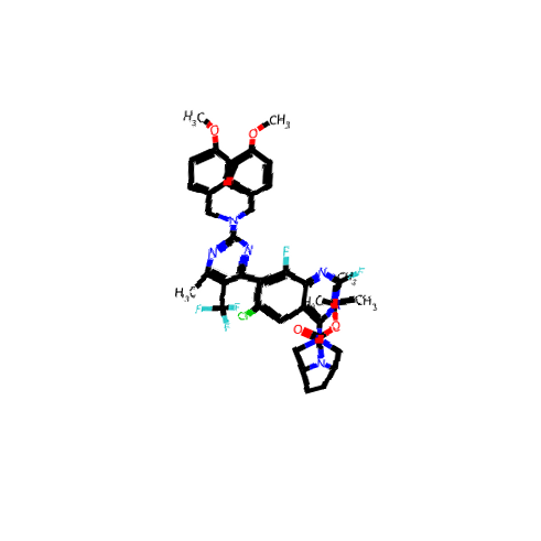 COc1ccc(CN(Cc2ccc(OC)cc2)c2nc(C)c(C(F)(F)F)c(-c3c(Cl)cc4c(N5CC6CCC(C5)N6C(=O)OC(C)(C)C)nc(F)nc4c3F)n2)cc1